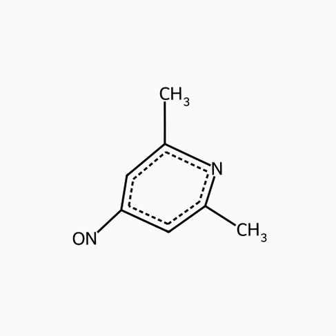 Cc1cc(N=O)cc(C)n1